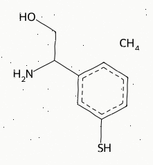 C.NC(CO)c1cccc(S)c1